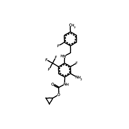 Cc1ccc(CNc2c(C(F)(F)F)cc(NC(=O)OC3CC3)c(N)c2F)c(F)c1